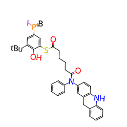 B#P(I)c1cc(SC(=O)CCCCC(=O)N(c2ccccc2)c2ccc3c(c2)Cc2ccccc2N3)c(O)c(C(C)(C)C)c1